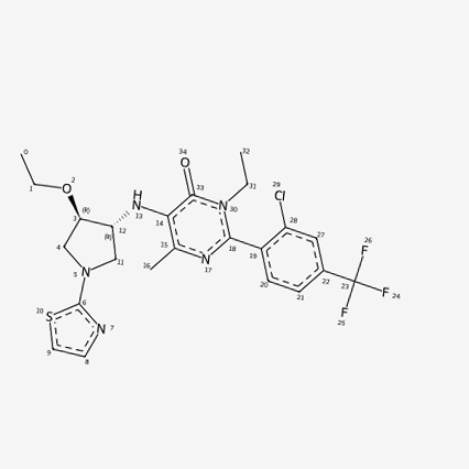 CCO[C@@H]1CN(c2nccs2)C[C@H]1Nc1c(C)nc(-c2ccc(C(F)(F)F)cc2Cl)n(CC)c1=O